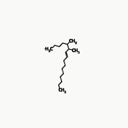 [CH2]CCCC(C)C(C)C=CCCCCCCCC